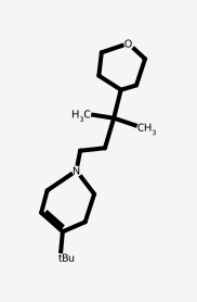 CC(C)(C)C1=CCN(CCC(C)(C)C2CCOCC2)CC1